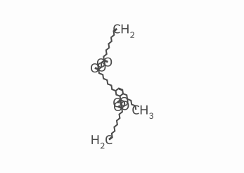 C=CCCCCCCCCC(=O)OOC(=O)CCCCCCCC1C=CC(CCCCCC)C(C(=O)OOC(=O)CCCCCCCCC=C)C1